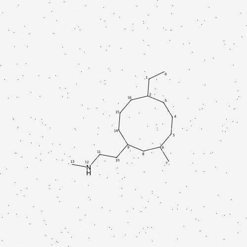 CCC1CCCC(C)CC(CCNC)CCC1